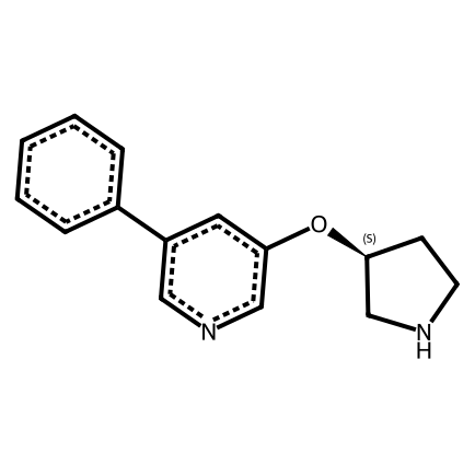 c1ccc(-c2cncc(O[C@H]3CCNC3)c2)cc1